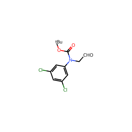 CC(C)(C)OC(=O)N(CC=O)c1cc(Cl)cc(Cl)c1